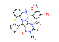 COc1cc(O)ccc1C1Nc2ccccc2-n2c(-c3ccccc3F)c3c(=O)n(C)c(=O)n(C)c3c21